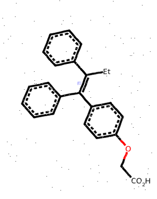 CC/C(=C(/c1ccccc1)c1ccc(OCC(=O)O)cc1)c1ccccc1